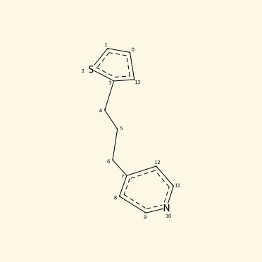 c1csc(CCCc2ccncc2)c1